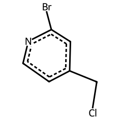 ClCc1ccnc(Br)c1